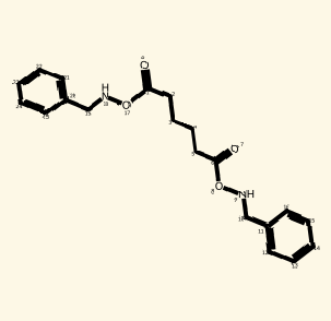 O=C(CCCCC(=O)ONCc1ccccc1)ONCc1ccccc1